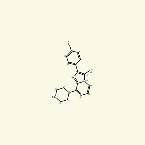 Fc1ccc(-c2nc3c(N4CCNCC4)nccn3c2Br)cc1